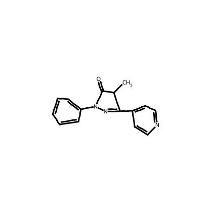 CC1C(=O)N(c2ccccc2)N=C1c1ccncc1